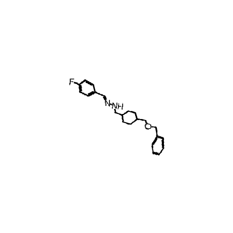 Fc1ccc(/C=N/NCC2CCC(COCc3ccccc3)CC2)cc1